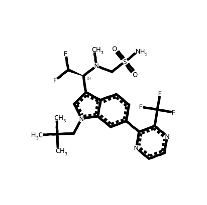 CN(CS(N)(=O)=O)[C@@H](c1cn(CC(C)(C)C)c2cc(-c3nccnc3C(F)(F)F)ccc12)C(F)F